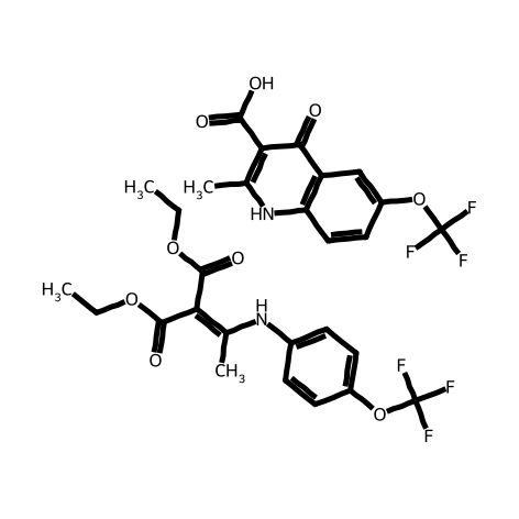 CCOC(=O)C(C(=O)OCC)=C(C)Nc1ccc(OC(F)(F)F)cc1.Cc1[nH]c2ccc(OC(F)(F)F)cc2c(=O)c1C(=O)O